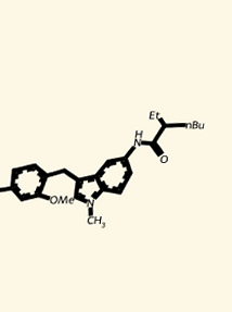 CCCCC(CC)C(=O)Nc1ccc2c(c1)c(Cc1ccc(C(=O)OC)cc1OC)cn2C